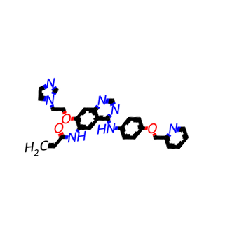 C=CC(=O)Nc1cc2c(Nc3ccc(OCc4ccccn4)cc3)ncnc2cc1OCCn1ccnc1